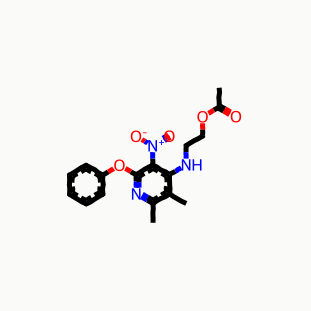 CC(=O)OCCNc1c(C)c(C)nc(Oc2ccccc2)c1[N+](=O)[O-]